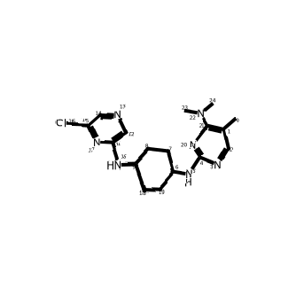 Cc1cnc(NC2CCC(Nc3cncc(Cl)n3)CC2)nc1N(C)C